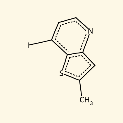 Cc1cc2nccc(I)c2s1